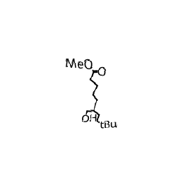 COC(=O)CCCC[C@H](CO)CCC(C)(C)C